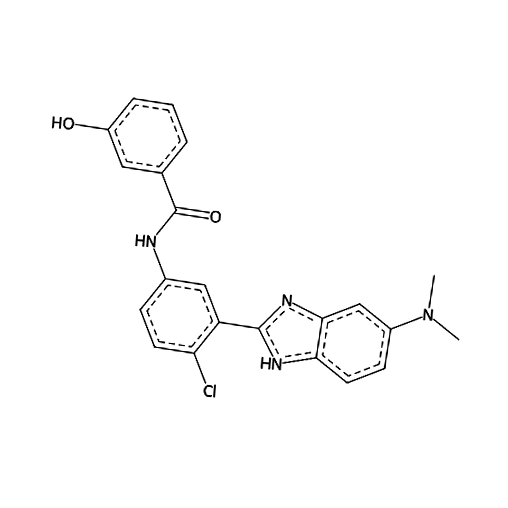 CN(C)c1ccc2[nH]c(-c3cc(NC(=O)c4cccc(O)c4)ccc3Cl)nc2c1